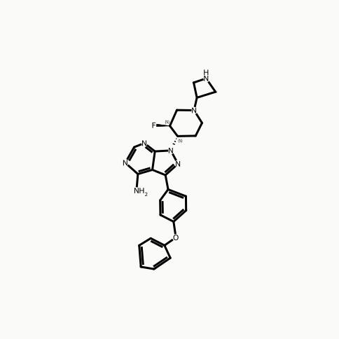 Nc1ncnc2c1c(-c1ccc(Oc3ccccc3)cc1)nn2[C@H]1CCN(C2CNC2)C[C@@H]1F